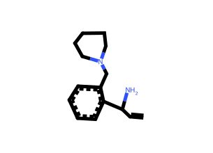 C=CC(N)c1ccccc1CN1CCCCC1